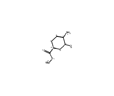 CC(C)(C)OC(=O)N1CCC(N)C(Cl)C1